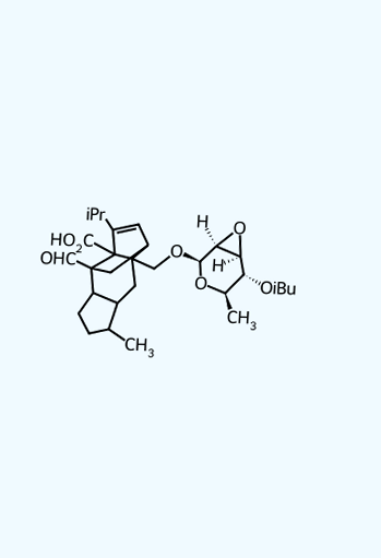 CC(C)CO[C@H]1[C@@H]2O[C@@H]2[C@H](OCC23CC4C(C)CCC4C4(C=O)CC2C=C(C(C)C)C43C(=O)O)O[C@@H]1C